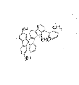 Cc1ccccc1-c1cccc2c3c(n(C=O)c12)C1=C(CC3)C2(c3ccccc31)c1cc(C(C)(C)C)ccc1-c1ccc(C(C)(C)C)cc12